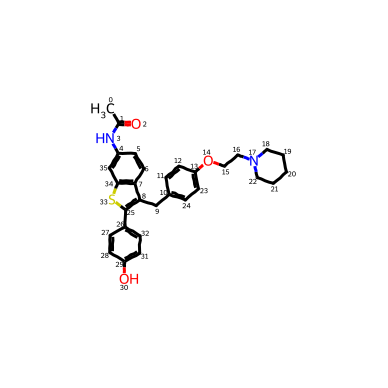 CC(=O)Nc1ccc2c(Cc3ccc(OCCN4CCCCC4)cc3)c(-c3ccc(O)cc3)sc2c1